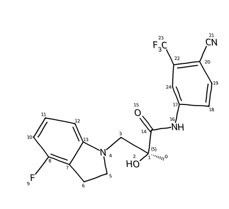 C[C@](O)(CN1CCc2c(F)cccc21)C(=O)Nc1ccc(C#N)c(C(F)(F)F)c1